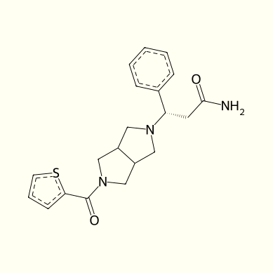 NC(=O)C[C@@H](c1ccccc1)N1CC2CN(C(=O)c3cccs3)CC2C1